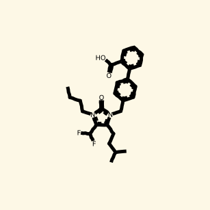 CCCCn1c(C(F)F)c(CCC(C)C)n(Cc2ccc(-c3ccccc3C(=O)O)cc2)c1=O